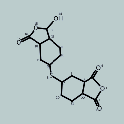 O=C1OC(=O)C2CC(SC3CCC4C(O)OC(=O)C4C3)CCC12